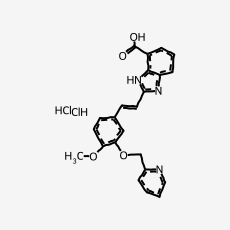 COc1ccc(C=Cc2nc3cccc(C(=O)O)c3[nH]2)cc1OCc1ccccn1.Cl.Cl